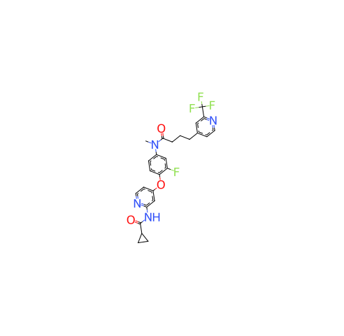 CN(C(=O)CCCc1ccnc(C(F)(F)F)c1)c1ccc(Oc2ccnc(NC(=O)C3CC3)c2)c(F)c1